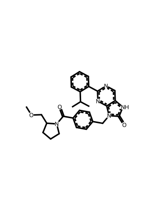 COCC1CCCN1C(=O)c1ccc(Cn2c(=O)[nH]c3cnc(-c4ccccc4C(C)C)nc32)cc1